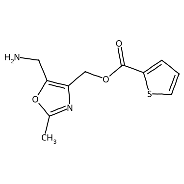 Cc1nc(COC(=O)c2cccs2)c(CN)o1